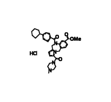 COC(=O)c1ccc2c(c1)N(C(=O)c1ccc(C3CCCCC3)cc1)Cc1ccc(C(=O)N3CCN(C)CC3)n1C2.Cl